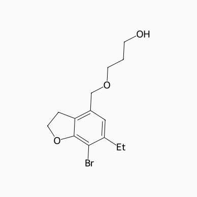 CCc1cc(COCCCO)c2c(c1Br)OCC2